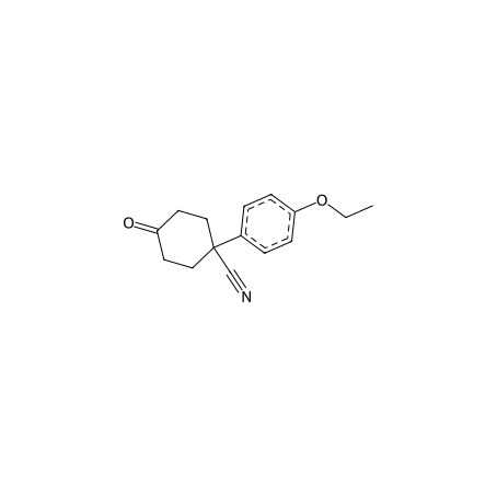 CCOc1ccc(C2(C#N)CCC(=O)CC2)cc1